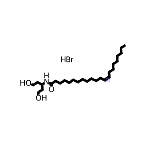 Br.CCCCCCCC/C=C\CCCCCCCCCCCC(=O)NC(CCO)CCO